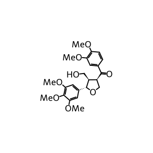 COc1ccc(C(=O)[C@H]2CO[C@H](c3cc(OC)c(OC)c(OC)c3)[C@H]2CO)cc1OC